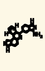 Nc1n[nH]c2ccc(-c3nc4ccc5[nH]ncc5c4c4c3[C@H]3CC[C@@H]4C3)cc12